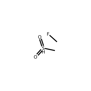 CF.C[SH](=O)=O